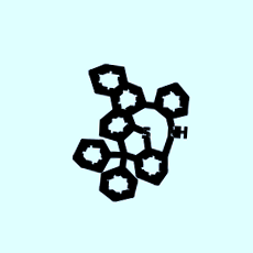 c1ccc(C2(c3ccccc3)c3cccc4c3Sc3c2ccc2c3c(cc3ccccc32)-c2ccccc2N4)cc1